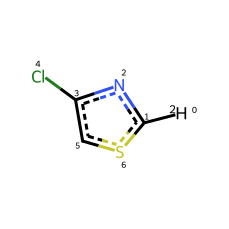 [2H]c1nc(Cl)cs1